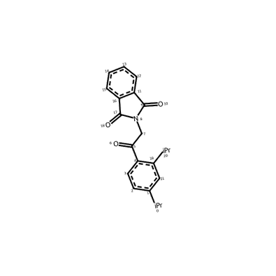 CC(C)c1ccc(C(=O)CN2C(=O)c3ccccc3C2=O)c(C(C)C)c1